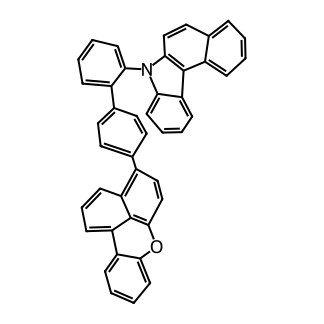 c1ccc2c(c1)Oc1ccc(-c3ccc(-c4ccccc4-n4c5ccccc5c5c6ccccc6ccc54)cc3)c3cccc-2c13